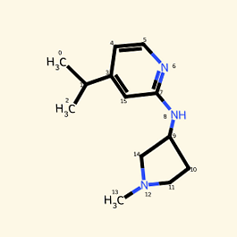 CC(C)c1ccnc(NC2CCN(C)C2)c1